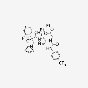 CCOC(CN(C(=O)Nc1ccc(C(F)(F)F)cc1)c1cnn([C@H](C)[C@](O)(Cn2cncn2)c2ccc(F)cc2F)c1)OCC